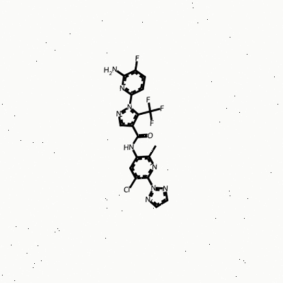 Cc1nc(-n2nccn2)c(Cl)cc1NC(=O)c1cnn(-c2ccc(F)c(N)n2)c1C(F)(F)F